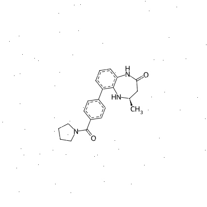 C[C@@H]1CC(=O)Nc2cccc(-c3ccc(C(=O)N4CCCC4)cc3)c2N1